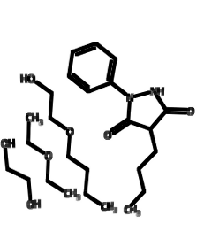 CCCCC1C(=O)NN(c2ccccc2)C1=O.CCCCOCCO.CCOCC.OCCO